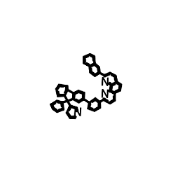 c1ccc(C2(c3cccnc3)c3ccccc3-c3ccc(-c4cccc(-c5ccc6ccc7ccc(-c8ccc9ccccc9c8)nc7c6n5)c4)cc32)cc1